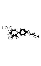 CCn1c(=O)c(C(=O)O)cn(-c2ccc(OCCO)cc2)c1=O